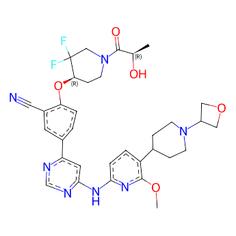 COc1nc(Nc2cc(-c3ccc(O[C@@H]4CCN(C(=O)[C@@H](C)O)CC4(F)F)c(C#N)c3)ncn2)ccc1C1CCN(C2COC2)CC1